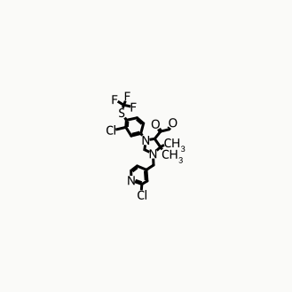 CC1(C)C(C(=O)C=O)N(c2ccc(SC(F)(F)F)c(Cl)c2)CN1Cc1ccnc(Cl)c1